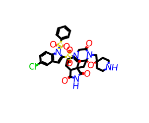 O=C1NC(=O)C2(CC34CN(S(=O)(=O)c5cc6cc(Cl)ccc6n5S(=O)(=O)c5ccccc5)CC(=O)N3CC3(CCNCC3)O4)C=CC=CC12